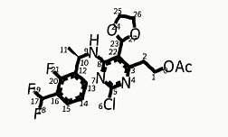 CC(=O)OCCc1nc(Cl)nc(N[C@H](C)c2cccc(C(F)F)c2F)c1C1OCCO1